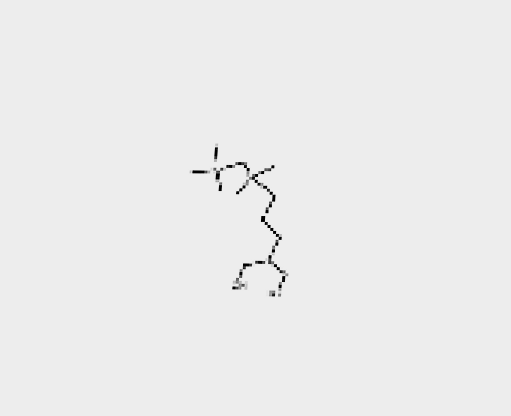 C[Si](C)(C)C[Si](C)(C)CCCC(CO)CO